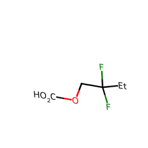 CCC(F)(F)COC(=O)O